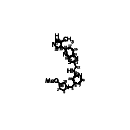 CO[C@@H]1CCN(Cc2ccnc(NCc3nc4ccc(-c5cn[nH]c5C)nc4s3)c2)C1